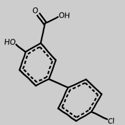 O=C(O)c1cc(-c2ccc(Cl)cc2)ccc1O